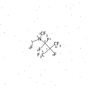 FCN(C(F)(F)F)C(F)(F)C(F)(C(F)(F)F)C(F)(F)F